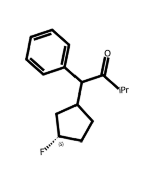 CC(C)C(=O)C(c1ccccc1)C1CC[C@H](F)C1